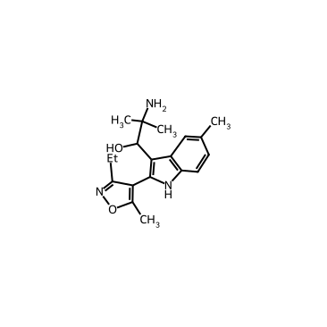 CCc1noc(C)c1-c1[nH]c2ccc(C)cc2c1C(O)C(C)(C)N